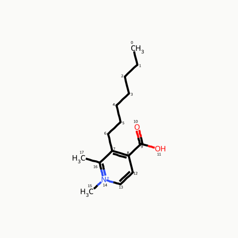 CCCCCCCc1c(C(=O)O)cc[n+](C)c1C